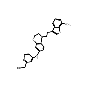 Cc1cccc2c(CCN3CCOc4cc(Nc5ccnc(CO)c5)ccc43)coc12